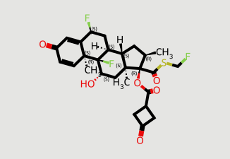 C[C@@H]1C[C@H]2[C@@H]3C[C@H](F)C4=CC(=O)C=C[C@]4(C)[C@@]3(F)[C@@H](O)C[C@]2(C)[C@@]1(OC(=O)C1CC(=O)C1)C(=O)SCF